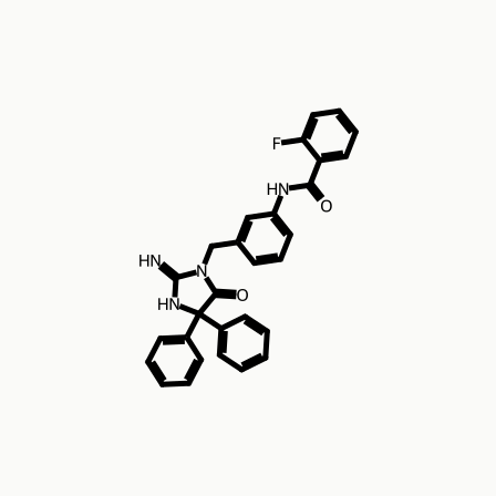 N=C1NC(c2ccccc2)(c2ccccc2)C(=O)N1Cc1cccc(NC(=O)c2ccccc2F)c1